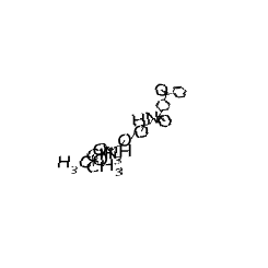 CC(C)(C)OC(=O)NCCOCCOCCNC(=O)c1ccc(C(=O)c2ccccc2)cc1